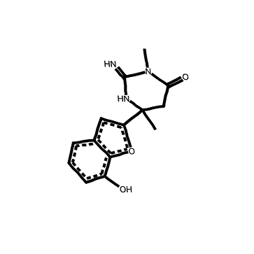 CN1C(=N)NC(C)(c2cc3cccc(O)c3o2)CC1=O